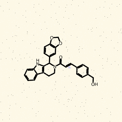 O=C(/C=C/c1ccc(CO)cc1)N1CCc2c([nH]c3ccccc23)C1c1ccc2c(c1)OCO2